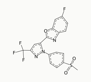 CS(=O)(=O)c1ccc(-n2nc(C(F)(F)F)cc2-c2nc3ccc(F)cc3o2)cc1